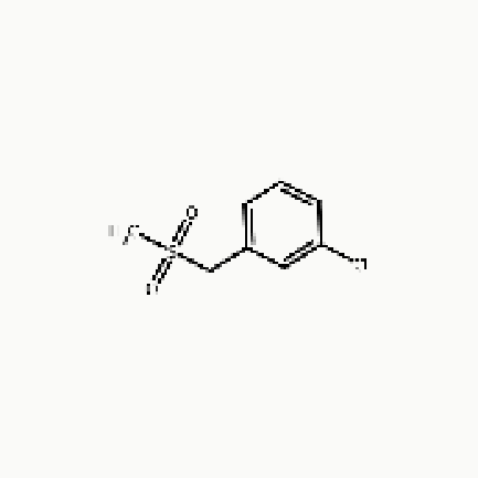 CS(=O)(=O)Cc1cccc(Cl)c1